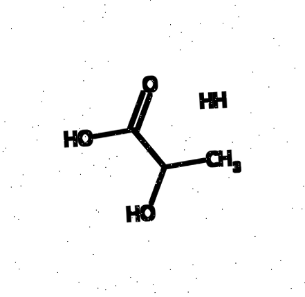 CC(O)C(=O)O.[HH]